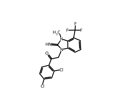 Cn1c(=N)n(CC(=O)c2ccc(Cl)cc2Cl)c2cccc(C(F)(F)F)c21